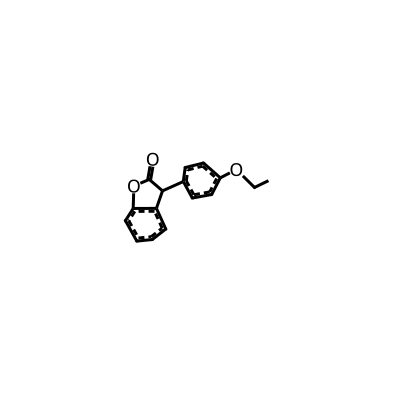 CCOc1ccc(C2C(=O)Oc3ccccc32)cc1